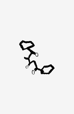 CC(C(=O)CC(=O)c1ccccc1)C(=O)c1ccccc1